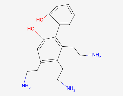 NCCc1cc(O)c(-c2ccccc2O)c(CCN)c1CCN